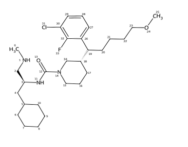 CNC[C@H](CC1CCCCC1)NC(=O)N1CCC[C@@H](C(CCCCOC)c2cccc(Cl)c2F)C1